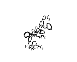 CC(C)C[C@@H](NC(=O)c1ccccc1OCC(=O)NC1(C)CC1)C(=O)N1CCC[C@@H]1C(=O)N1CCN(C)C[C@H]1Cc1ccccc1